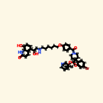 O=C(c1ccc(OCCCCCCNC[C@H](O)c2ccc(O)c3[nH]c(=O)ccc23)cc1)N1CCC(C(=O)O[C@H]2CN3CCC2CC3)(c2ccc(Br)cc2)CC1